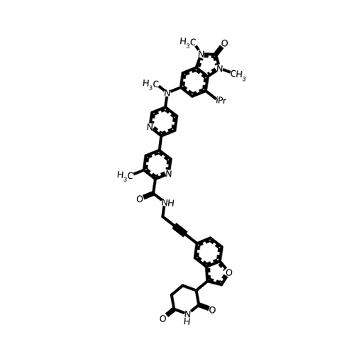 Cc1cc(-c2ccc(N(C)c3cc(C(C)C)c4c(c3)n(C)c(=O)n4C)cn2)cnc1C(=O)NCC#Cc1ccc2occ(C3CCC(=O)NC3=O)c2c1